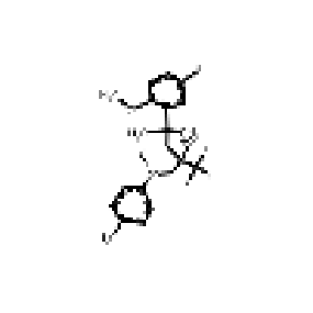 COc1ccc(F)cc1C(C)(C)C[C@@](O)(C[S@@+]([O-])c1ccc(C)cc1)C(F)(F)F